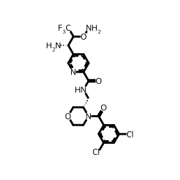 NOC([C@@H](N)c1ccc(C(=O)NC[C@H]2COCCN2C(=O)c2cc(Cl)cc(Cl)c2)nc1)C(F)(F)F